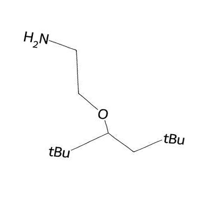 CC(C)(C)CC(OCCN)C(C)(C)C